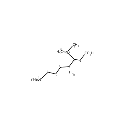 CCCCCCCCCCCC(CC(=O)O)N(C)C.Cl